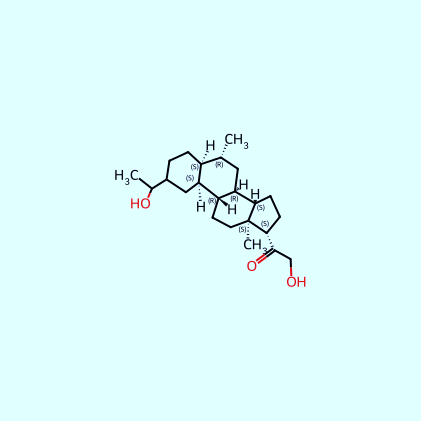 CC(O)C1CC[C@@H]2[C@H](C1)[C@H]1CC[C@]3(C)[C@@H](C(=O)CO)CC[C@H]3[C@@H]1C[C@H]2C